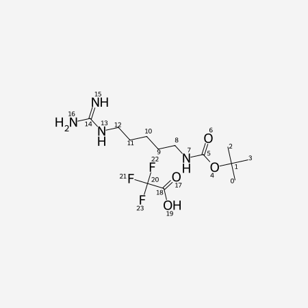 CC(C)(C)OC(=O)NCCCCCNC(=N)N.O=C(O)C(F)(F)F